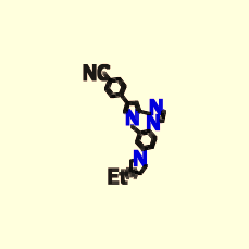 CC[C@H]1CCN(c2ccc3c(c2)Cn2cc(-c4ccc(C#N)cc4)cc2-c2nccn2-3)C1